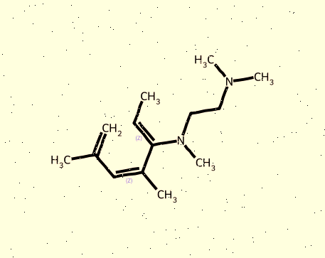 C=C(C)/C=C(C)\C(=C\C)N(C)CCN(C)C